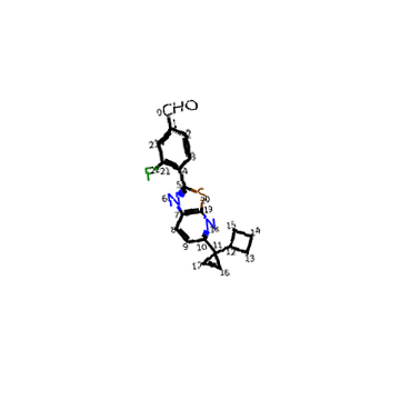 O=Cc1ccc(-c2nc3ccc(C4(C5CCC5)C=C4)nc3s2)c(F)c1